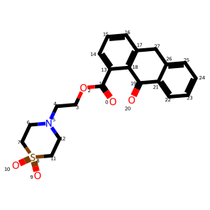 O=C(OCCN1CCS(=O)(=O)CC1)c1cccc2c1C(=O)c1ccccc1C2